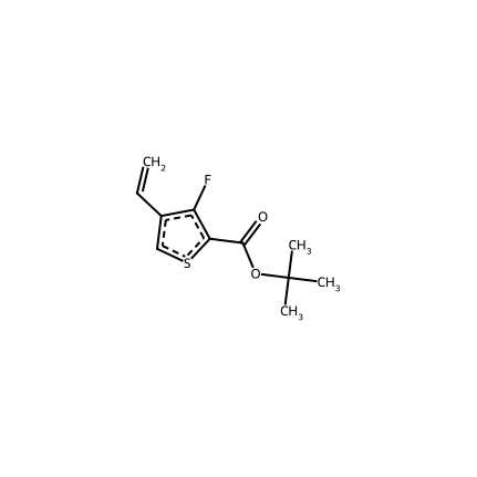 C=Cc1csc(C(=O)OC(C)(C)C)c1F